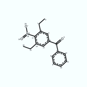 CCc1cc(C(=O)c2ccccc2)cc(CC)c1[N+](=O)[O-]